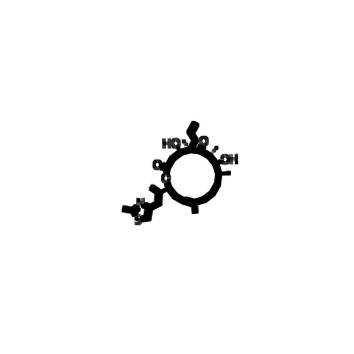 C=CC[C@@]1(C)C(=O)[C@H](C)[C@@H](O)[C@@H](C)CCC/C(C)=C\C[C@@H](/C(C)=C/c2csc(C)n2)OC(=O)C[C@@H]1O